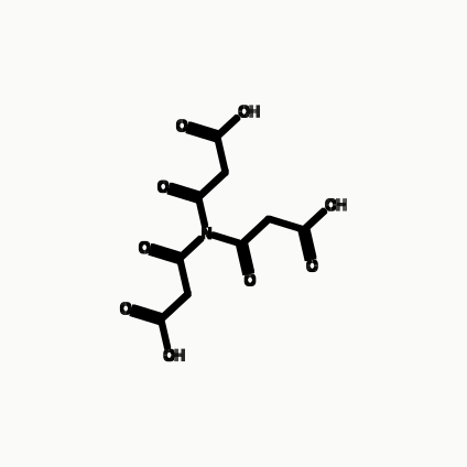 O=C(O)CC(=O)N(C(=O)CC(=O)O)C(=O)CC(=O)O